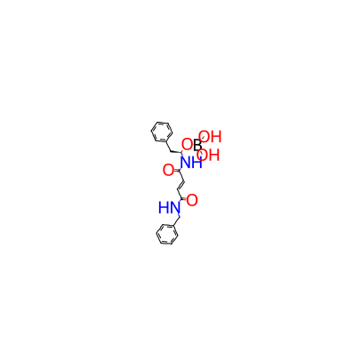 O=C(/C=C/C(=O)N[C@@H](Cc1ccccc1)OB(O)O)NCc1ccccc1